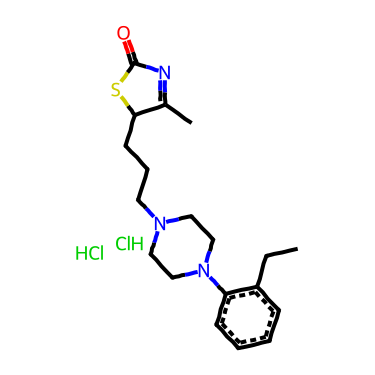 CCc1ccccc1N1CCN(CCCC2SC(=O)N=C2C)CC1.Cl.Cl